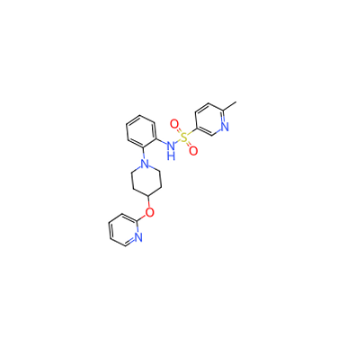 Cc1ccc(S(=O)(=O)Nc2ccccc2N2CCC(Oc3ccccn3)CC2)cn1